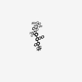 COC(=O)N[C@@H](C(=O)N1CCC[C@H]1c1nc2ccc(-c3ccc(-c4ccc(B5OC(C)(C)C(C)(C)O5)c5c4CCC5)c4c3CC3(CCCC3)C4)cc2c(=O)[nH]1)C(C)C